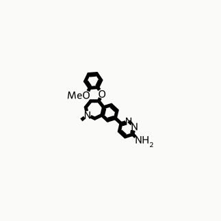 COc1ccccc1OC1CCN(C)Cc2cc(-c3ccc(N)nn3)ccc21